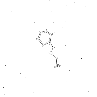 CC(C)COCc1cc[c]cc1